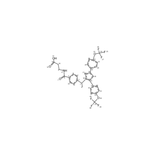 CC(c1ccc(C(=O)NCCC(=O)O)cc1)n1nc(-c2ccc(OC(F)(F)F)cc2)cc1-c1ccc(OC(F)(F)F)cc1